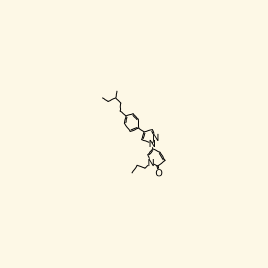 CCCn1cc(-n2cc(-c3ccc(CCC(C)CC)cc3)cn2)ccc1=O